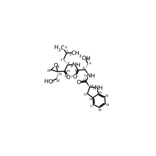 CC(C)C[C@H](NC(=O)[C@H](CO)NC(=O)[C@@H]1Cc2ccccc2N1)C(=O)[C@@]1(CO)CO1